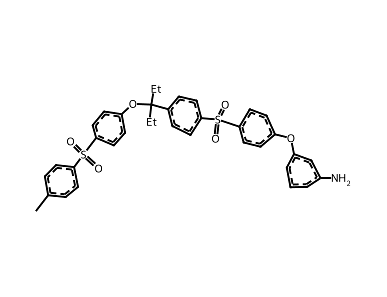 CCC(CC)(Oc1ccc(S(=O)(=O)c2ccc(C)cc2)cc1)c1ccc(S(=O)(=O)c2ccc(Oc3cccc(N)c3)cc2)cc1